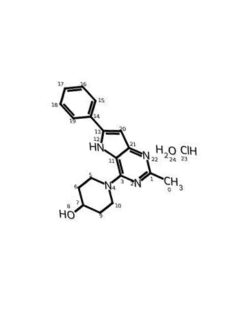 Cc1nc(N2CCC(O)CC2)c2[nH]c(-c3ccccc3)cc2n1.Cl.O